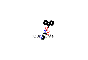 COC(=O)[C@@H](C[C@@H]1CCCN1C(=O)O)NC(=O)OCC1c2ccccc2-c2ccccc21